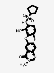 Cn1cnc2ccc(Oc3c(F)ccc(NS(=O)(=O)C4CCCC4)c3C#N)cc2c1=O